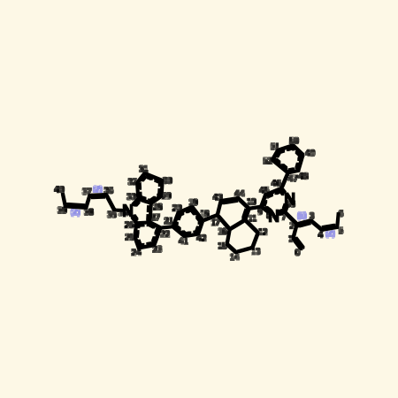 C=C/C(=C\C=C/C)c1nc(C2=C3CCCCC3C(c3ccc(-c4cccc5c4c4ccccc4n5C/C=C\C=C/C)cc3)C=C2)cc(-c2ccccc2)n1